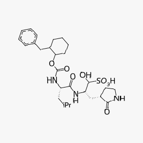 CC(C)C[C@H](NC(=O)OC1CCCCC1Cc1ccccc1)C(=O)N[C@@H](C[C@@H]1CCNC1=O)C(O)S(=O)(=O)O